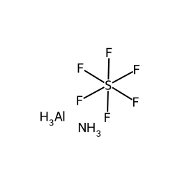 FS(F)(F)(F)(F)F.N.[AlH3]